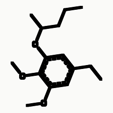 CCCC(C)Oc1cc(CC)cc(OC)c1OC